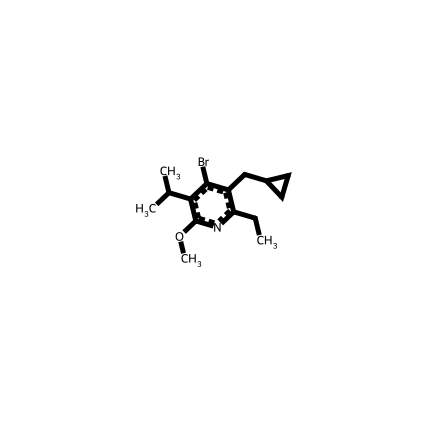 CCc1nc(OC)c(C(C)C)c(Br)c1CC1CC1